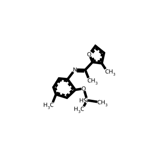 CC(=Nc1ccc(C)cc1O[SiH](C)C)c1occc1C